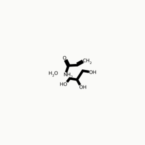 C=CC(N)=O.O.OCC(O)CO